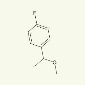 [CH2]C(OC)c1ccc(F)cc1